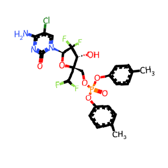 Cc1ccc(OP(=O)(OC[C@@]2(C(F)F)O[C@@H](n3cc(Cl)c(N)nc3=O)C(F)(F)[C@@H]2O)Oc2ccc(C)cc2)cc1